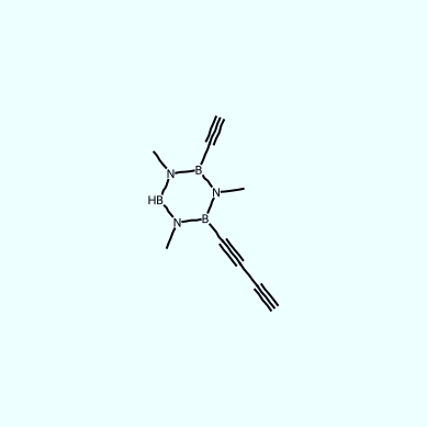 C#CC#CB1N(C)BN(C)B(C#C)N1C